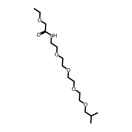 CCOCC(=O)NCCOCCOCCOCCOCC(C)C